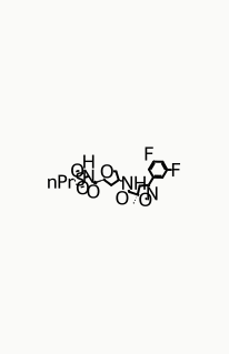 CCCS(=O)(=O)NC(=O)[C@@H]1C[C@H](NC(=O)[C@@]2(C)CC(c3cc(F)cc(F)c3)=NO2)CO1